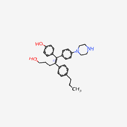 CCCc1ccc(/C(CCCO)=C(/c2ccc(O)cc2)c2ccc(N3CCNCC3)cc2)cc1